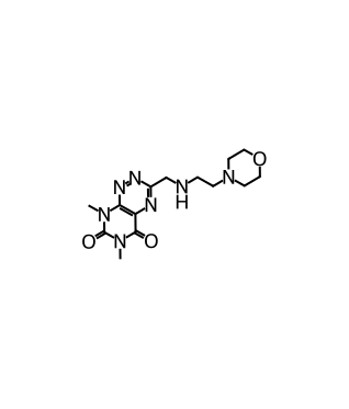 Cn1c(=O)c2nc(CNCCN3CCOCC3)nnc2n(C)c1=O